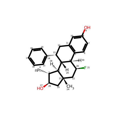 CCC[C@@H]1[C@H]2[C@H]3[C@@H](c4ccc(O)cc4C[C@H]3c3ccccc3)[C@@H](F)C[C@]2(C)C[C@H]1O